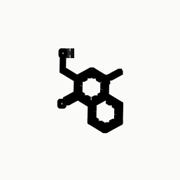 Cn1cc(CO)c(=O)c2ccccc21